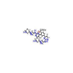 COC(=O)c1ccc(-c2nc(Nc3cnn(C4CCCNC4)c3)ncc2C)cc1-c1nc(Nc2cnn(C3CCCNC3)c2)ncc1C